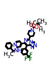 C[C@H](Nc1cc(-c2nc(C3CCN(C(=O)OC(C)(C)C)CC3)n3cnnc3c2-c2cccc(C(F)(F)F)c2)ccn1)c1ccccc1